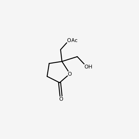 CC(=O)OCC1(CO)CCC(=O)O1